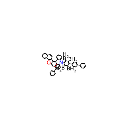 Bc1c(B)c(N(c2ccc(-c3ccccc3)cc2)c2ccccc2-c2cccc3oc4c5ccccc5ccc4c23)c(B)c(B)c1-c1ccc(-c2ccccc2)cc1